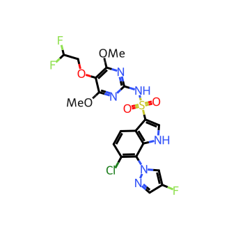 COc1nc(NS(=O)(=O)c2c[nH]c3c(-n4cc(F)cn4)c(Cl)ccc23)nc(OC)c1OCC(F)F